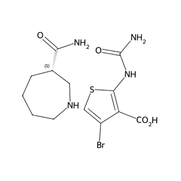 NC(=O)Nc1scc(Br)c1C(=O)O.NC(=O)[C@H]1CCCCNC1